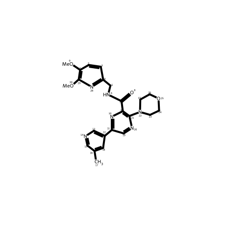 COc1ccc(CNC(=O)c2nc(-c3cncc(C)c3)cnc2N2CCOCC2)nc1OC